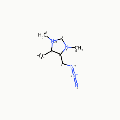 CC1C(CN=[N+]=[N-])N(C)CN1C